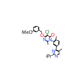 COc1cccc(COc2nc(C)n(-c3cc(-c4nc(C(C)C)ncc4C)ccc3C)c(=O)c2Cl)c1